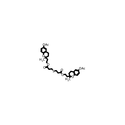 CC(=O)Oc1ccc2c(c1)CCC(C)(CCOC(=O)CCSCCC(=O)OCCC1(C)CCc3cc(OC(C)=O)ccc3O1)O2